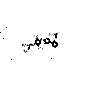 CCN(C)/C=N/c1cc(C)c(Oc2ccc(-c3ccccc3OCC(C)C)cc2)cc1C